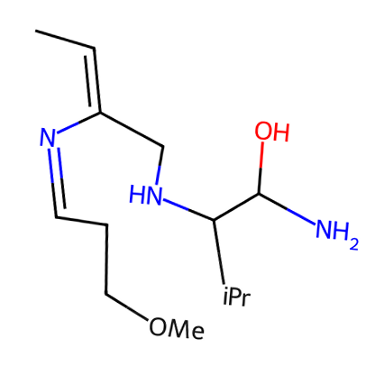 C/C=C(CNC(C(C)C)C(N)O)\N=C/CCOC